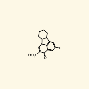 CCOC(=O)c1cn2c3c(cc(F)cc3c1=O)C1CCCCC12